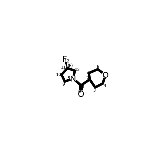 O=C(C1CCOCC1)N1CC[C@@H](F)C1